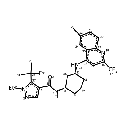 CCn1ncc(C(=O)N[C@@H]2CCC[C@H](Nc3cc(C(F)(F)F)nc4ccc(C)cc34)C2)c1C(C)(F)F